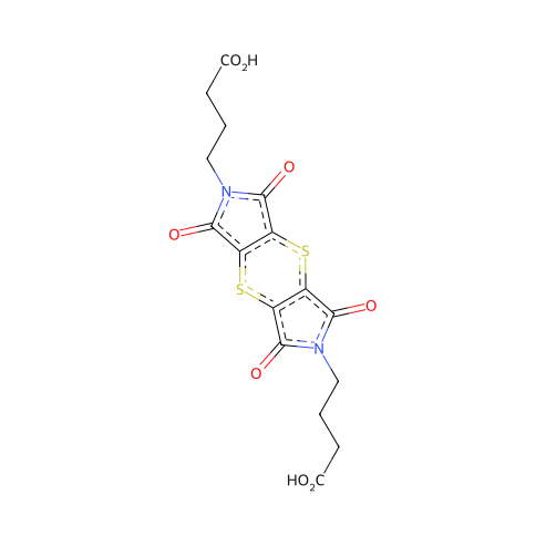 O=C(O)CCCn1c(=O)c2sc3c(=O)n(CCCC(=O)O)c(=O)c3sc2c1=O